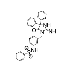 N=C1NC(c2ccccc2)(c2ccccc2)C(=O)N1Cc1cccc(NS(=O)(=O)c2ccccc2)c1